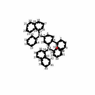 c1ccc(-c2ccc(N(c3ccccc3)c3cccc4ccccc34)cc2N(c2ccccc2)c2cccc3ccccc23)cc1